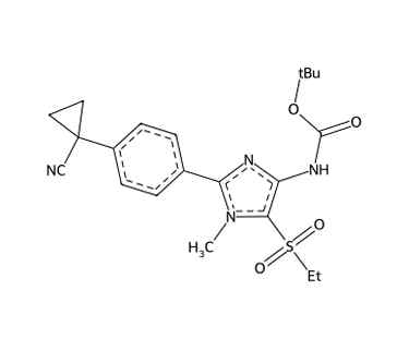 CCS(=O)(=O)c1c(NC(=O)OC(C)(C)C)nc(-c2ccc(C3(C#N)CC3)cc2)n1C